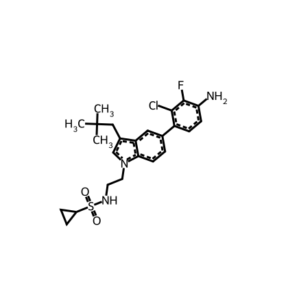 CC(C)(C)Cc1cn(CCNS(=O)(=O)C2CC2)c2ccc(-c3ccc(N)c(F)c3Cl)cc12